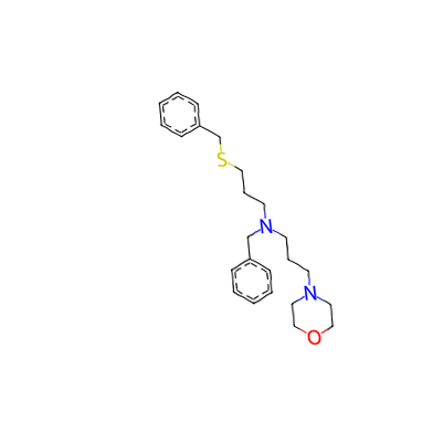 c1ccc(CSCCCN(CCCN2CCOCC2)Cc2ccccc2)cc1